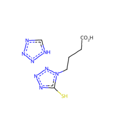 O=C(O)CCCn1nnnc1S.c1nnn[nH]1